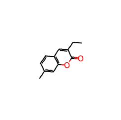 CCc1cc2ccc(C)cc2oc1=O